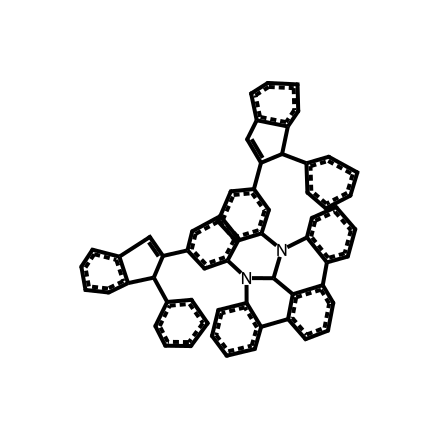 C1=C(c2cccc(N3c4ccccc4-c4cccc5c4C3N(c3cccc(C4=Cc6ccccc6C4c4ccccc4)c3)c3ccccc3-5)c2)C(c2ccccc2)c2ccccc21